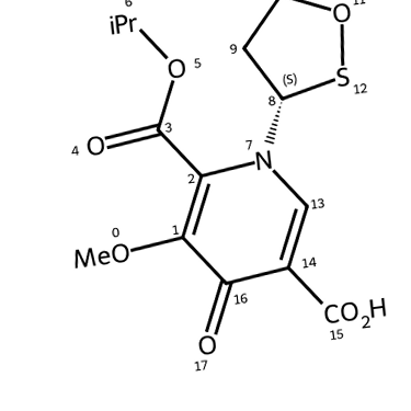 COc1c(C(=O)OC(C)C)n([C@@H]2CCOS2)cc(C(=O)O)c1=O